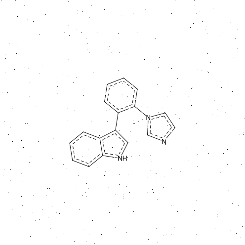 c1ccc(-n2ccnc2)c(-c2c[nH]c3ccccc23)c1